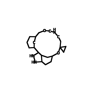 C1CC2COCNCCC3(CC3)OC3CCC4NNC(C(C1)C2)C4C3